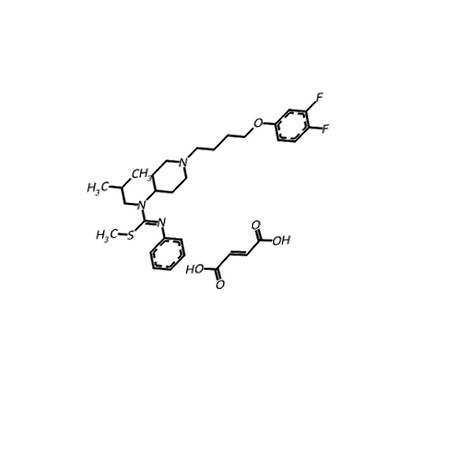 CS/C(=N\c1ccccc1)N(CC(C)C)C1CCN(CCCCOc2ccc(F)c(F)c2)CC1.O=C(O)/C=C/C(=O)O